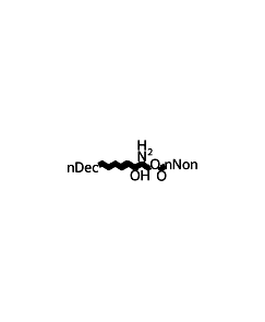 CCCCCCCCCCCCCC=CC(O)C(N)COC(=O)CCCCCCCCC